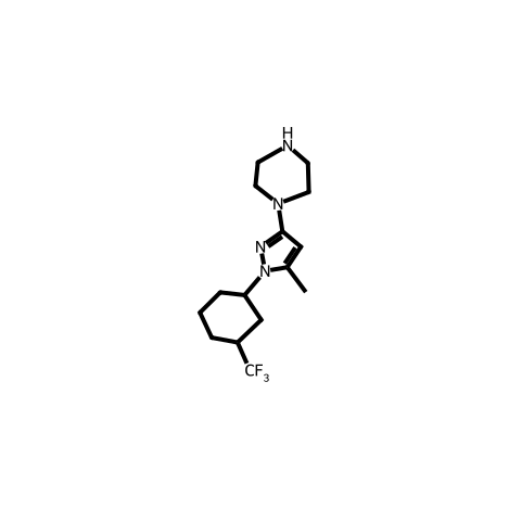 Cc1cc(N2CCNCC2)nn1C1CCCC(C(F)(F)F)C1